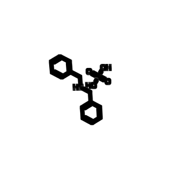 O=S(=O)(O)O.c1ccc(CNCc2ccccc2)cc1